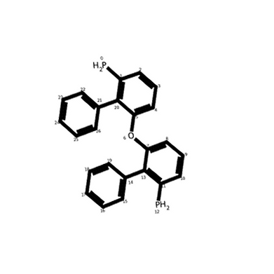 Pc1cccc(Oc2cccc(P)c2-c2ccccc2)c1-c1ccccc1